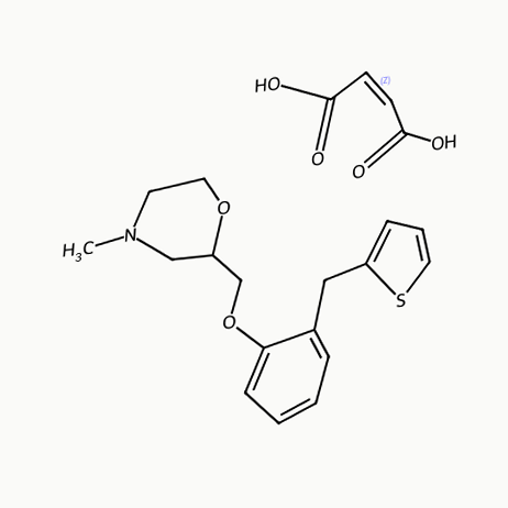 CN1CCOC(COc2ccccc2Cc2cccs2)C1.O=C(O)/C=C\C(=O)O